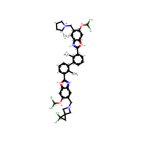 Cc1c(-c2nc3cc(CN4CC5(C4)CC5(F)F)c(OC(F)F)cc3o2)cccc1-c1cccc(-c2nc3cc(CN4CCC[C@H]4C(=O)O)c(OC(F)F)cc3o2)c1C